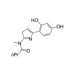 CCCC(=O)N(C)C1=NC(c2ccc(O)cc2O)=CC1